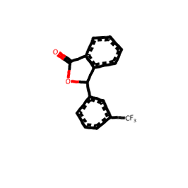 O=C1OC(c2cccc(C(F)(F)F)c2)c2ccccc21